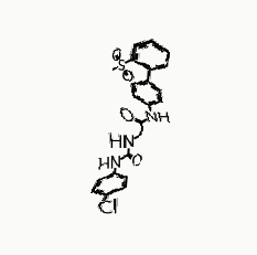 CS(=O)(=O)c1ccccc1-c1ccc(NC(=O)CNC(=O)Nc2ccc(Cl)cc2)cc1